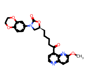 COc1ccc2nccc(C(=O)CCCC[C@H]3CN(c4ccc5c(c4)OCCO5)C(=O)O3)c2n1